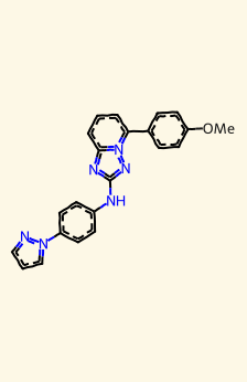 COc1ccc(-c2cccc3nc(Nc4ccc(-n5cccn5)cc4)nn23)cc1